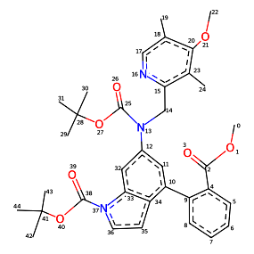 COC(=O)c1ccccc1-c1cc(N(Cc2ncc(C)c(OC)c2C)C(=O)OC(C)(C)C)cc2c1ccn2C(=O)OC(C)(C)C